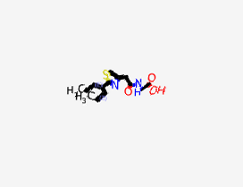 C=C/C=C(\C=C/C)c1nc(CC(=O)NCC(=O)O)cs1